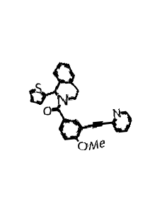 COc1ccc(C(=O)N2CCc3ccccc3C2c2cccs2)cc1C#Cc1ccccn1